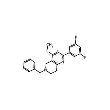 COc1nc(-c2cc(F)cc(F)c2)nc2c1CN(Cc1ccccc1)CC2